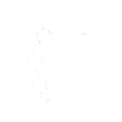 COc1ccc(-c2ccc(CN3CCN(CC=Cc4ccc(Cl)s4)C(=O)C3=O)cc2)cn1